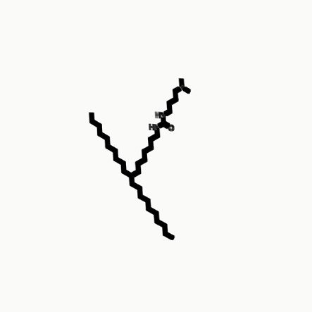 CCCCCCCCCCC(CCCCCCCCCC)CCCCCCCNC(=O)NCCCCN(C)C